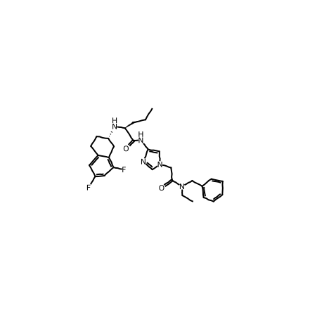 CCC[C@H](N[C@H]1CCc2cc(F)cc(F)c2C1)C(=O)Nc1cn(CC(=O)N(CC)Cc2ccccc2)cn1